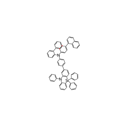 c1ccc(-c2ccccc2N(c2ccc(-c3ccc4c(c3)N(c3ccccc3)c3ccccc3[Si]4(c3ccccc3)c3ccccc3)cc2)c2ccc(-c3cccc4ccccc34)cc2)cc1